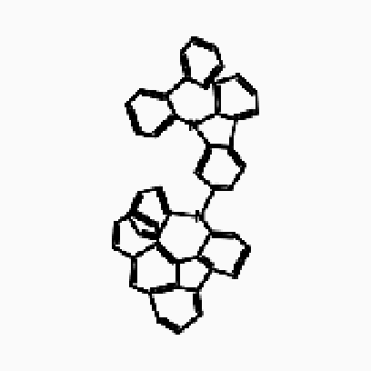 c1ccc(-c2ccccc2-n2c3ccccc3c3ccc(N(c4ccccc4)c4cccc5c4-c4c6ccccc6cc6cccc-5c46)cc32)cc1